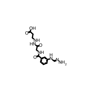 NN=CNc1cccc(C(=O)NCC(=O)NNCCC(=O)O)c1